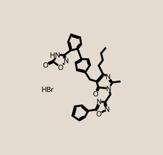 Br.CCCCc1nc(C)n(Cc2noc(-c3ccccc3)n2)c(=O)c1Cc1ccc(-c2ccccc2-c2noc(=O)[nH]2)cc1